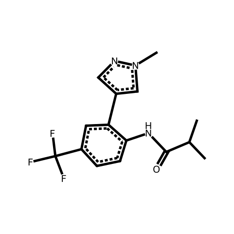 CC(C)C(=O)Nc1ccc(C(F)(F)F)cc1-c1cnn(C)c1